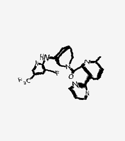 Cc1ccc(-c2ncccn2)c(C(=O)N2CC3CCC2C(Nc2ncc(C(F)(F)F)cc2F)C3)n1